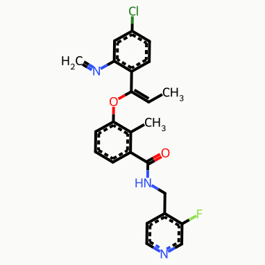 C=Nc1cc(Cl)ccc1/C(=C\C)Oc1cccc(C(=O)NCc2ccncc2F)c1C